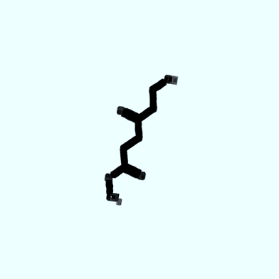 COC(=O)CCC(=O)CCO